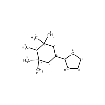 CP1C(C)(C)CC(C2OCCO2)CC1(C)C